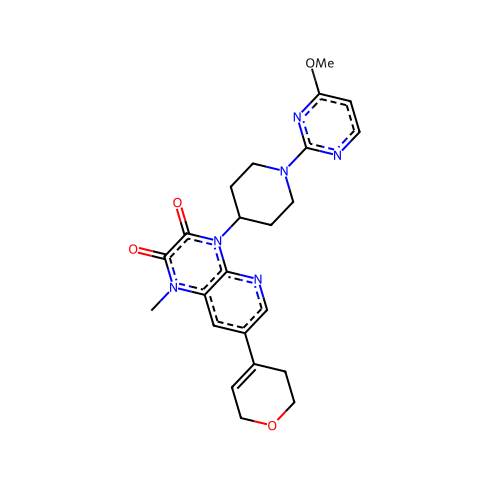 COc1ccnc(N2CCC(n3c(=O)c(=O)n(C)c4cc(C5=CCOCC5)cnc43)CC2)n1